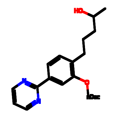 CCCCCCCCCCOc1cc(-c2ncccn2)ccc1CCCC(C)O